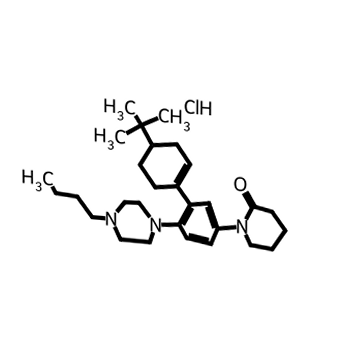 CCCCN1CCN(c2ccc(N3CCCCC3=O)cc2C2=CCC(C(C)(C)C)CC2)CC1.Cl